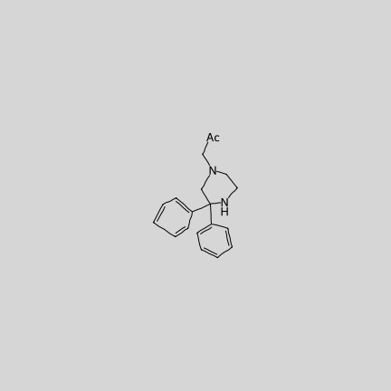 CC(=O)CN1CCNC(c2ccccc2)(c2ccccc2)C1